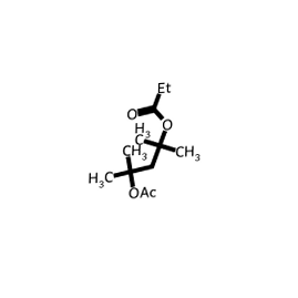 CCC(=O)OC(C)(C)CC(C)(C)OC(C)=O